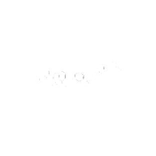 CC(C)CC(=O)N1CCC(Nc2cccc(Sc3ccc(/C=C/C(=O)N4CCOCC4)c(C(F)(F)F)c3C(F)(F)F)c2)CC1